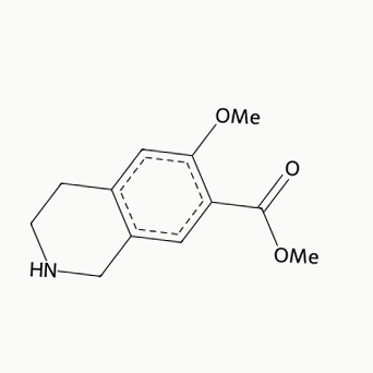 COC(=O)c1cc2c(cc1OC)CCNC2